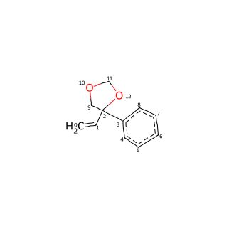 C=CC1(c2ccccc2)COCO1